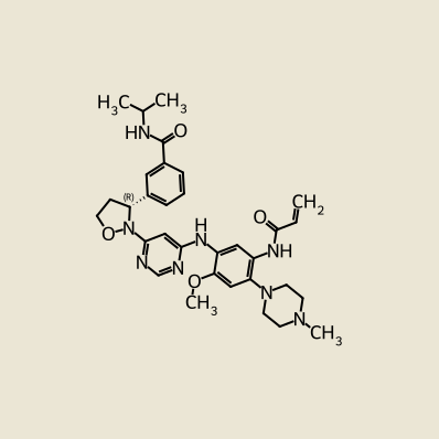 C=CC(=O)Nc1cc(Nc2cc(N3OCC[C@@H]3c3cccc(C(=O)NC(C)C)c3)ncn2)c(OC)cc1N1CCN(C)CC1